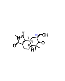 Cn1[nH]c2c(c1=O)CC[C@H]1C(C)(C)C(=O)/C(=C\O)C[C@]21C